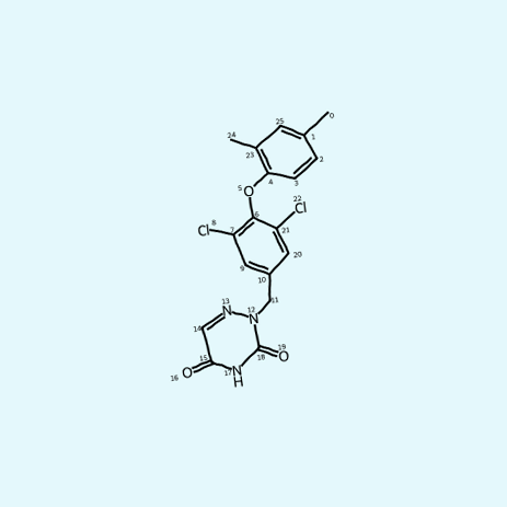 Cc1ccc(Oc2c(Cl)cc(Cn3ncc(=O)[nH]c3=O)cc2Cl)c(C)c1